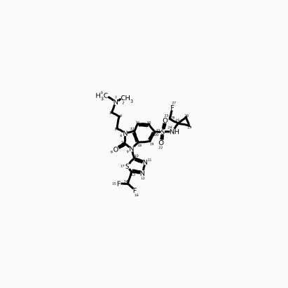 CN(C)CCCn1c(=O)n(-c2nnc(C(F)F)s2)c2cc(S(=O)(=O)NC3(CF)CC3)ccc21